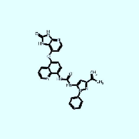 C=C(C)c1cc(NC(=O)Nc2ccc(Oc3ccnc4[nH]c(=O)[nH]c34)c3cccnc23)n(-c2ccccc2)n1